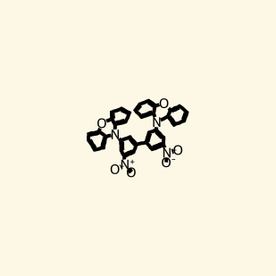 O=[N+]([O-])c1cc(-c2cc(N3c4ccccc4Oc4ccccc43)cc([N+](=O)[O-])c2)cc(N2c3ccccc3Oc3ccccc32)c1